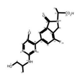 CC(CO)Nc1ncc(Cl)c(-c2cc(F)c3c(c2)C(=O)N(C(C)C(=O)O)C3)n1